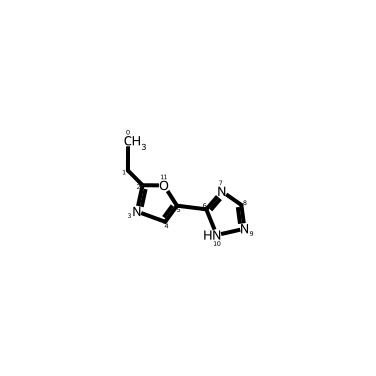 CCc1ncc(-c2ncn[nH]2)o1